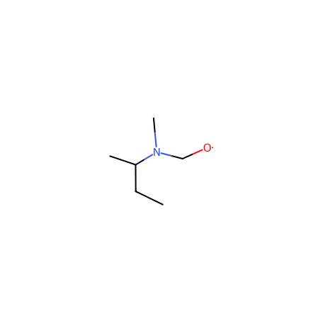 CCC(C)N(C)C[O]